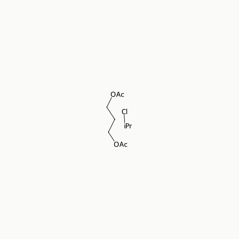 CC(=O)OCCCOC(C)=O.CC(C)Cl